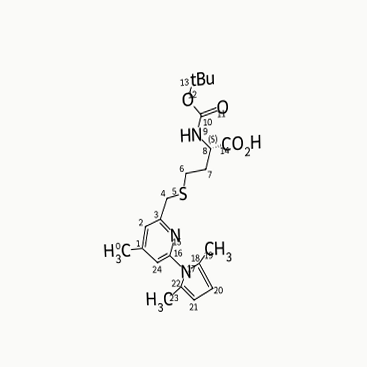 Cc1cc(CSCC[C@H](NC(=O)OC(C)(C)C)C(=O)O)nc(-n2c(C)ccc2C)c1